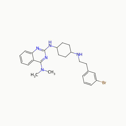 CN(C)c1nc(NC2CCC(NCCc3cccc(Br)c3)CC2)nc2ccccc12